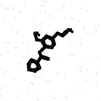 C=CCc1ccc(OC(=O)c2cccnc2)c(OC)c1